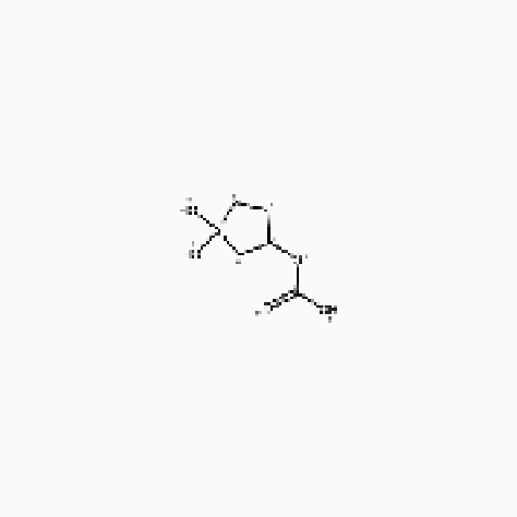 O=C(O)OC1CCS(O)(O)C1